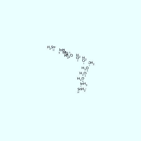 O.O.O.O.O.O.O.[InH3].[InH3].[MgH2].[SnH2].[SnH2]